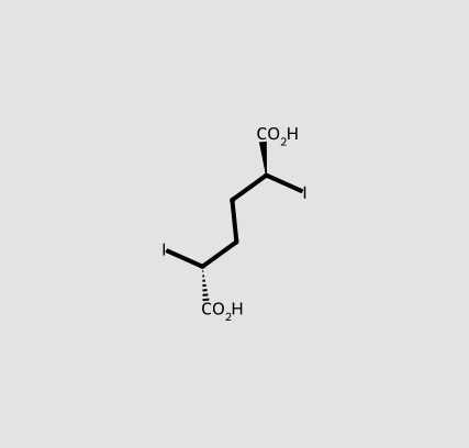 O=C(O)[C@H](I)CC[C@H](I)C(=O)O